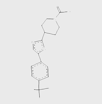 O=C(O)N1CCC(c2nc(-c3ccc(C(F)(F)F)cc3)c[nH]2)CC1